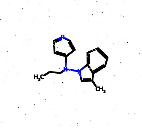 CCCN(c1ccncc1)n1cc(C)c2ccccc21